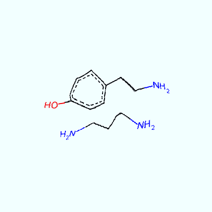 NCCCN.NCCc1ccc(O)cc1